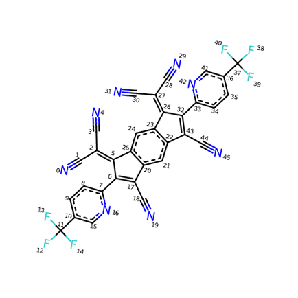 N#CC(C#N)=C1C(c2ccc(C(F)(F)F)cn2)=C(C#N)c2cc3c(cc21)C(=C(C#N)C#N)C(c1ccc(C(F)(F)F)cn1)=C3C#N